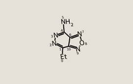 CCc1nnc(N)c2nonc12